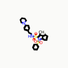 Cc1c(S(=O)(=O)NCCc2ccc(N3CCCCC3)cc2)n(S(=O)(=O)c2ccccc2)c2ccccc12